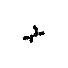 c1ccc2cc(-n3c4ccccc4c4cc(-c5ccc6c(c5)c5cc7c(cc5n6-c5ccc6ccccc6c5)sc5ccccc57)ccc43)ccc2c1